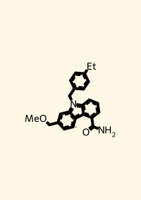 CCc1ccc(Cn2c3cc(COC)c[c]c3c3c(C(N)=O)cccc32)cc1